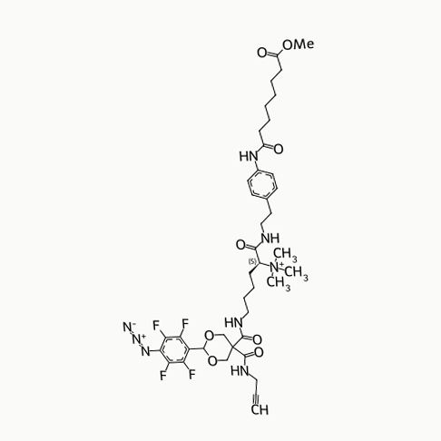 C#CCNC(=O)C1(C(=O)NCCCC[C@@H](C(=O)NCCc2ccc(NC(=O)CCCCCCC(=O)OC)cc2)[N+](C)(C)C)COC(c2c(F)c(F)c(N=[N+]=[N-])c(F)c2F)OC1